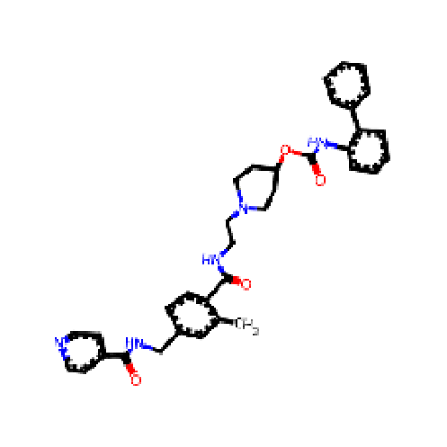 Cc1cc(CNC(=O)c2ccncc2)ccc1C(=O)NCCN1CCC(OC(=O)Nc2ccccc2-c2ccccc2)CC1